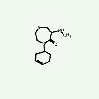 CNC1CSCCN(C2CC=CCC2)C1=O